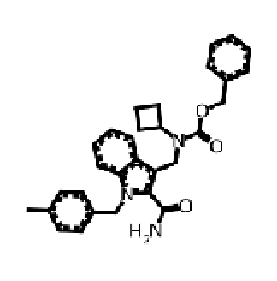 Cc1ccc(Cn2c(C(N)=O)c(CN(C(=O)OCc3ccccc3)C3CCC3)c3ccccc32)cc1